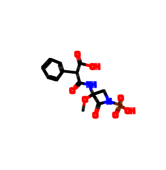 COC1(NC(=O)C(C(=O)O)c2ccccc2)CN(S(=O)(=O)O)C1=O